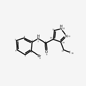 O=C(Nc1ccccc1Br)c1c[nH]nc1CI